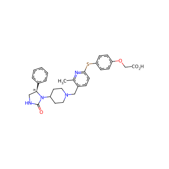 Cc1nc(Sc2ccc(OCC(=O)O)cc2)ccc1CN1CCC(N2C(=O)NC[C@H]2c2ccccc2)CC1